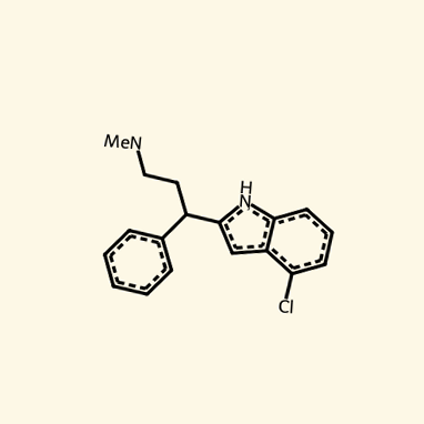 CNCCC(c1ccccc1)c1cc2c(Cl)cccc2[nH]1